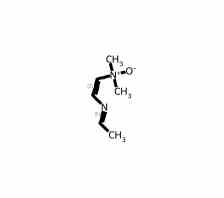 C/C=N/C=C\[N+](C)(C)[O-]